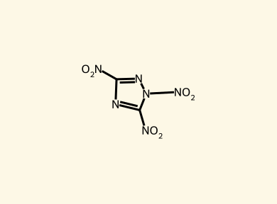 O=[N+]([O-])c1nc([N+](=O)[O-])n([N+](=O)[O-])n1